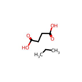 CCC.O=C(O)CCC(=O)O